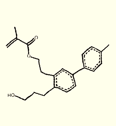 C=C(C)C(=O)OCCc1cc(-c2ccc(C)cc2)ccc1CCCO